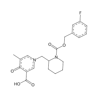 Cc1cn(CC2CCCCN2C(=O)OCc2cccc(F)c2)cc(C(=O)O)c1=O